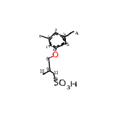 Cc1cc(C)cc(OCC(C)CS(=O)(=O)O)c1